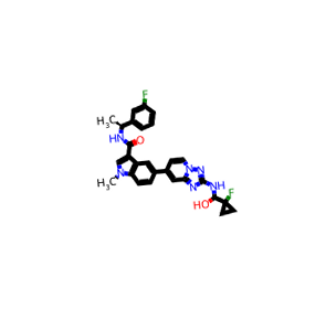 C[C@H](NC(=O)c1cn(C)c2ccc(-c3ccn4nc(NC(O)C5(F)CC5)nc4c3)cc12)c1cccc(F)c1